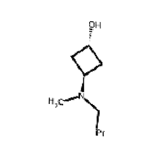 CC(C)CN(C)[C@H]1C[C@H](O)C1